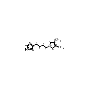 CC1=C(C)CN(CCCCc2c[nH]cn2)C1